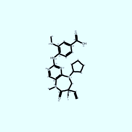 C=C[C@@]1(F)CN(C2CCCC2)c2nc(Nc3ccc(C(=O)O)cc3OC)ncc2N(C)C1=O